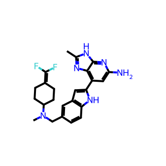 Cc1nc2c(-c3cc4cc(CN(C)C5CCC(=C(F)F)CC5)ccc4[nH]3)cc(N)nc2[nH]1